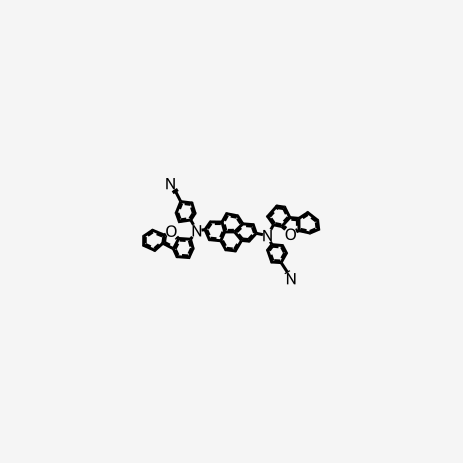 N#Cc1ccc(N(c2cc3ccc4cc(N(c5ccc(C#N)cc5)c5cccc6c5oc5ccccc56)cc5ccc(c2)c3c45)c2cccc3c2oc2ccccc23)cc1